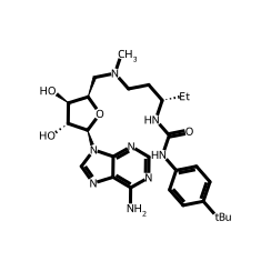 CC[C@@H](CCN(C)C[C@H]1O[C@@H](n2cnc3c(N)ncnc32)[C@H](O)[C@H]1O)NC(=O)Nc1ccc(C(C)(C)C)cc1